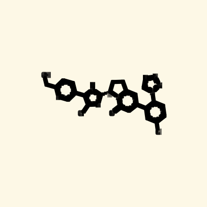 O=c1cc(-c2cc(Cl)ccc2-n2cnnn2)cc2n1[C@H](c1nc(Cl)c(-c3ccc(CO)nc3)[nH]1)CC2